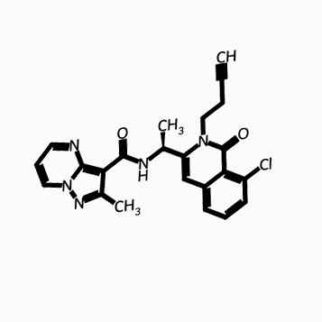 C#CCCn1c([C@H](C)NC(=O)c2c(C)nn3cccnc23)cc2cccc(Cl)c2c1=O